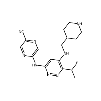 CC(F)c1nnc(Nc2cnc(C#N)cn2)cc1NCC1CCNCC1